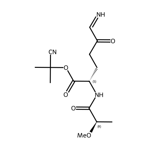 CO[C@H](C)C(=O)N[C@@H](CCC(=O)C=N)C(=O)OC(C)(C)C#N